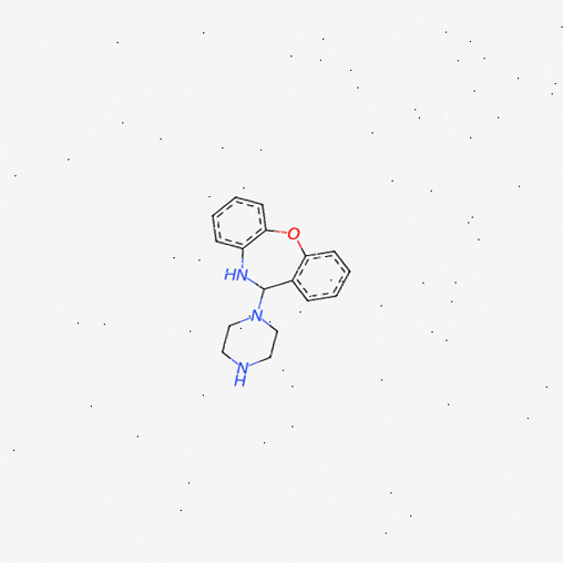 c1ccc2c(c1)NC(N1CCNCC1)c1ccccc1O2